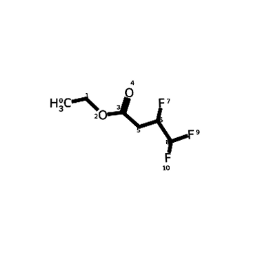 CCOC(=O)CC(F)C(F)F